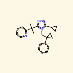 CC(C)(c1ccccn1)c1nnc(C2CC2)n1CC1(c2ccccc2)CC1